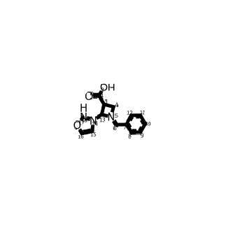 O=C(O)C1CN(Cc2ccccc2)C1N1C=CON1